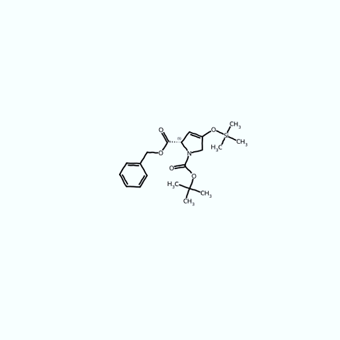 CC(C)(C)OC(=O)N1CC(O[Si](C)(C)C)=C[C@H]1C(=O)OCc1ccccc1